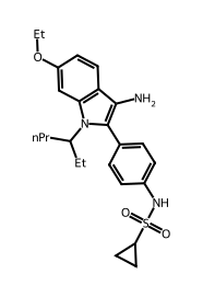 CCCC(CC)n1c(-c2ccc(NS(=O)(=O)C3CC3)cc2)c(N)c2ccc(OCC)cc21